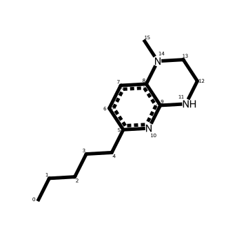 CCCCCc1ccc2c(n1)NCCN2C